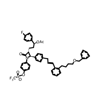 CC(=O)O[C@@H](CC[C@H]1C(=O)N(c2ccc(OS(=O)(=O)C(F)(F)F)cc2)[C@@H]1c1ccc(C/C=C/c2ccccc2CCCCOCc2ccccc2)cc1)c1ccc(F)cc1